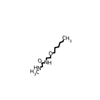 CCCCCCOCCNC(=O)CNC